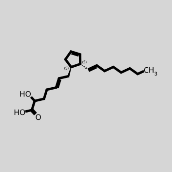 CCCCCCC=C[C@H]1C=CC[C@@H]1CC=CCCC(O)C(=O)O